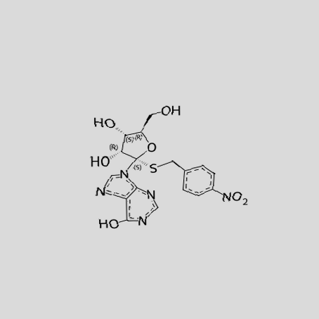 O=[N+]([O-])c1ccc(CS[C@@]2(n3cnc4c(O)ncnc43)O[C@H](CO)[C@@H](O)[C@H]2O)cc1